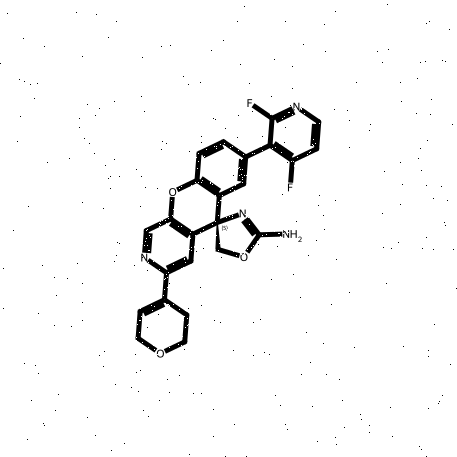 NC1=N[C@@]2(CO1)c1cc(-c3c(F)ccnc3F)ccc1Oc1cnc(C3=CCOCC3)cc12